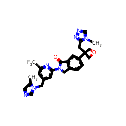 Cc1cncn1Cc1cc(N2Cc3ccc(C4(Cc5nncn5C)COC4)cc3C2=O)nc(C(F)(F)F)c1